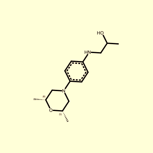 CC(O)CNc1ccc(N2C[C@@H](C)O[C@@H](C)C2)cc1